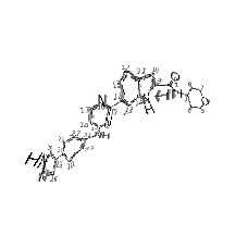 O=C(NC1CCOCC1)c1cc2ccc(-c3nccc(Nc4ccc(-c5cn[nH]c5)cc4)n3)cc2[nH]1